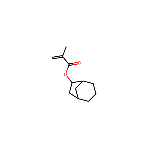 C=C(C)C(=O)OC1CC2CCCC1C2